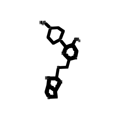 Cc1cnc(CSc2nc3cscc3[nH]2)nc1N1CCN(C)CC1